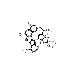 CC(Cc1cc(F)c2cc(Cl)c(N)nc2c1)C1=C[C@@H](n2ccc3c(N)ncnc32)[C@@H]2OC(C)(C)O[C@H]12